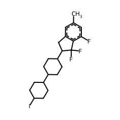 Cc1cc(F)c2c(c1)CC(C1CCC(C3CCC(I)CC3)CC1)C2(F)F